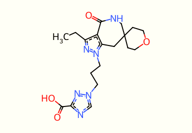 CCc1nn(CCCn2cnc(C(=O)O)n2)c2c1C(=O)NCC1(CCOCC1)C2